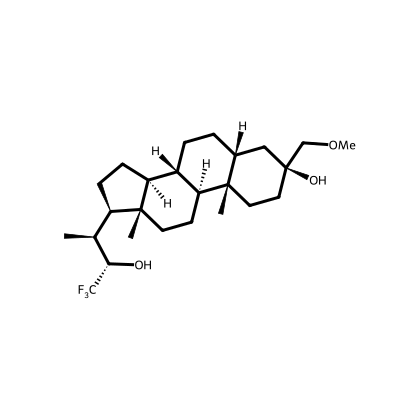 COC[C@]1(O)CC[C@@]2(C)[C@H](CC[C@@H]3[C@@H]2CC[C@]2(C)[C@@H]([C@H](C)[C@H](O)C(F)(F)F)CC[C@@H]32)C1